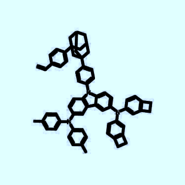 C=Cc1ccc(C23CC4CC(C2)CC(c2ccc(-n5c6ccc(N(c7ccc(C)cc7)c7ccc(C)cc7)cc6c6cc(N(c7ccc8c(c7)CC8)c7ccc8c(c7)CC8)ccc65)cc2)(C4)C3)cc1